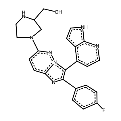 OCC1CN(c2ccc3nc(-c4ccc(F)cc4)c(-c4ccnc5[nH]ccc45)n3n2)CCN1